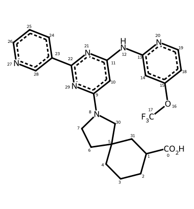 O=C(O)C1CCCC2(CCN(c3cc(Nc4cc(OC(F)(F)F)ccn4)nc(-c4cccnc4)n3)C2)C1